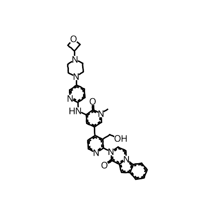 Cn1cc(-c2ccnc(-n3ccn4c(cc5ccccc54)c3=O)c2CO)cc(Nc2ccc(N3CCN(C4COC4)CC3)cn2)c1=O